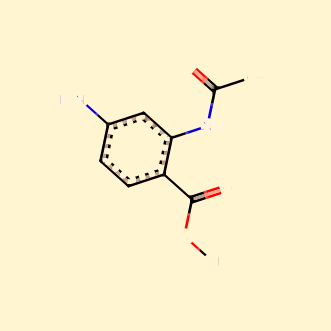 COC(=O)c1ccc(N)cc1NC(C)=O